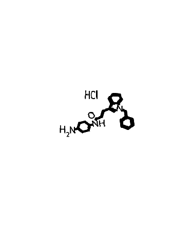 Cl.NC1CCC(NC(=O)CCc2cn(Cc3ccccc3)c3ccccc23)CC1